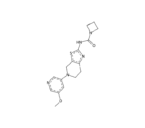 COc1cncc(N2CCc3nc(NC(=O)N4CCC4)sc3C2)c1